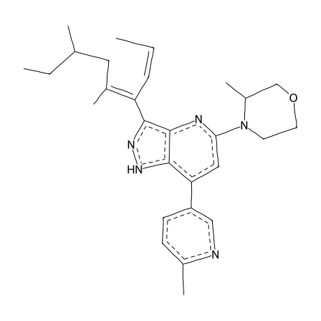 C/C=C\C(=C(\C)CC(C)CC)c1n[nH]c2c(-c3ccc(C)nc3)cc(N3CCOCC3C)nc12